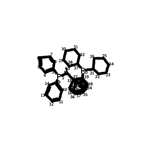 C[C@H](P(c1ccccc1)c1ccccc1)[C]12[CH]3[CH]4[CH]5[C]1(P(C1CCCCC1)C1CCCCC1)[Fe]43521678[CH]2[CH]1[CH]6[CH]7[CH]28